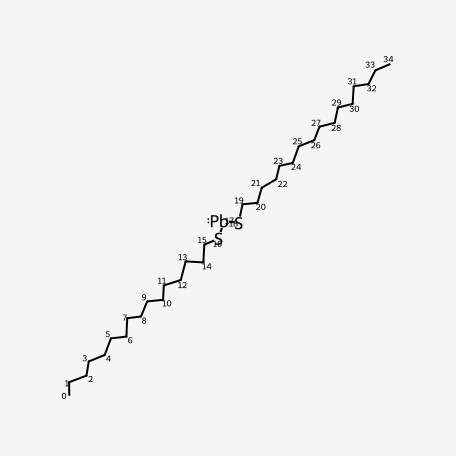 CCCCCCCCCCCCCCCC[S][Pb][S]CCCCCCCCCCCCCCCC